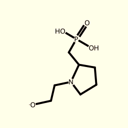 [O]CCN1CCCC1CP(=O)(O)O